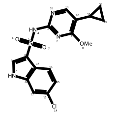 COc1nc(NS(=O)(=O)c2c[nH]c3cc(Cl)ccc23)ncc1C1CC1